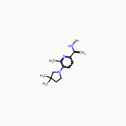 C=C(NC(C)C)c1ccc(N2CCC(C)(C)C2)c(C)n1